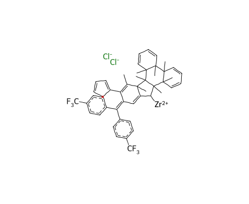 CC1=C(C2=CC=CC2)C(=C(c2ccc(C(F)(F)F)cc2)c2ccc(C(F)(F)F)cc2)C=C2[CH]([Zr+2])C3(C)C4(C)C=CC=CC4(C)C4(C)C=CC=CC4(C)C3(C)C21C.[Cl-].[Cl-]